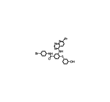 CC(C)c1ccc2c(Nc3cc(C(=O)Nc4ccc(Br)cc4)ccc3Sc3cccc(O)c3)ncnc2n1